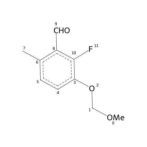 COCOc1ccc(C)c(C=O)c1F